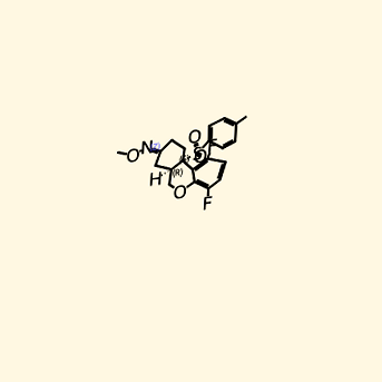 CO/N=C1/CC[C@@]2(S(=O)(=O)c3ccc(C)cc3)c3c(F)ccc(F)c3OC[C@H]2C1